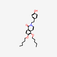 CCCCCOc1ccc2c(=O)n(CCc3ccc(O)cc3)ccc2c1OCCCCC